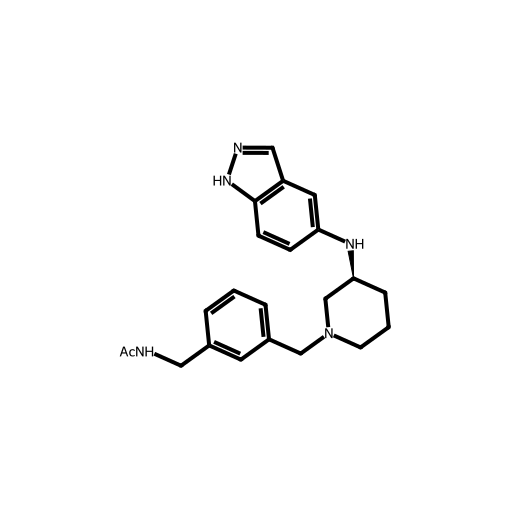 CC(=O)NCc1cccc(CN2CCC[C@H](Nc3ccc4[nH]ncc4c3)C2)c1